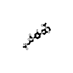 CC(=O)NCC1CN(c2ccc(N3CC4OCCN(C(C)=O)C4C3)c(F)c2)C(=O)O1